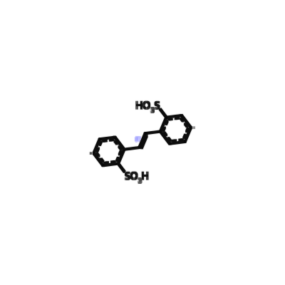 O=S(=O)(O)c1c[c]ccc1/C=C/c1cc[c]cc1S(=O)(=O)O